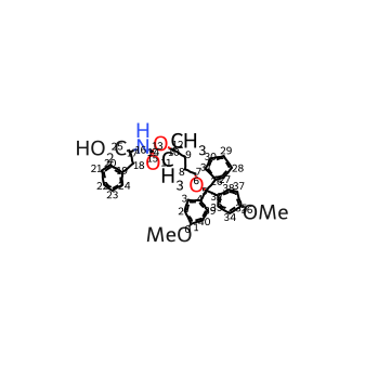 COc1ccc(C(OCCCC(C)(C)OC(=O)NC(Cc2ccccc2)C(=O)O)(c2ccccc2)c2ccc(OC)cc2)cc1